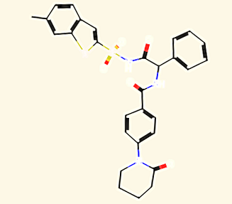 Cc1ccc2cc(S(=O)(=O)NC(=O)C(NC(=O)c3ccc(N4CCCCC4=O)cc3)c3ccccc3)sc2c1